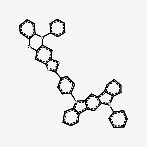 c1ccc(N2c3ccccc3Oc3cc4nc(-c5ccc(-n6c7ccccc7c7cc8c(cc76)c6ccccc6n8-c6ccccc6)cc5)sc4cc32)cc1